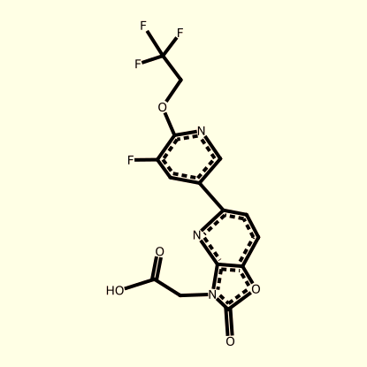 O=C(O)Cn1c(=O)oc2ccc(-c3cnc(OCC(F)(F)F)c(F)c3)nc21